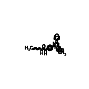 CCCCCNC(=O)Nc1ccc(-c2nc(CS(C)(=O)=O)cc(N3CCOCC3)n2)cc1